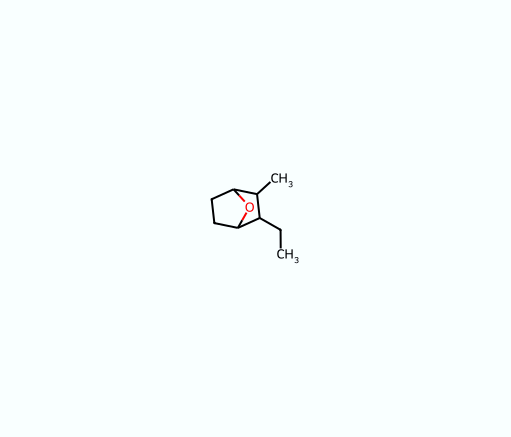 CCC1C2CCC(O2)C1C